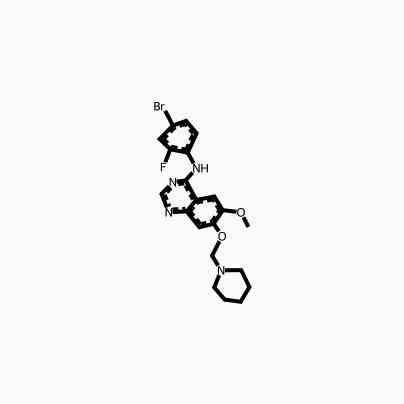 COc1cc2c(Nc3ccc(Br)cc3F)ncnc2cc1OCN1CCCCC1